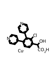 O=C(O)C(O)c1ccc(-c2ccncc2)c(-c2ccncc2)c1Cl.[Cu]